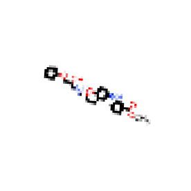 COC(=O)c1cccc(Nc2ccc3c(c2)CC[C@H](CNC[C@H](O)COc2ccccc2)O3)c1